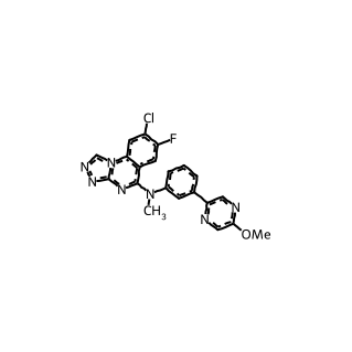 COc1cnc(-c2cccc(N(C)c3nc4nncn4c4cc(Cl)c(F)cc34)c2)cn1